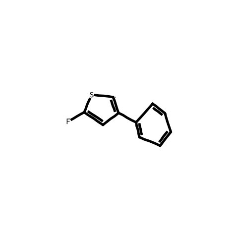 Fc1cc(-c2ccccc2)[c]s1